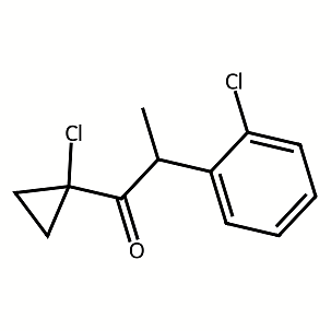 CC(C(=O)C1(Cl)CC1)c1ccccc1Cl